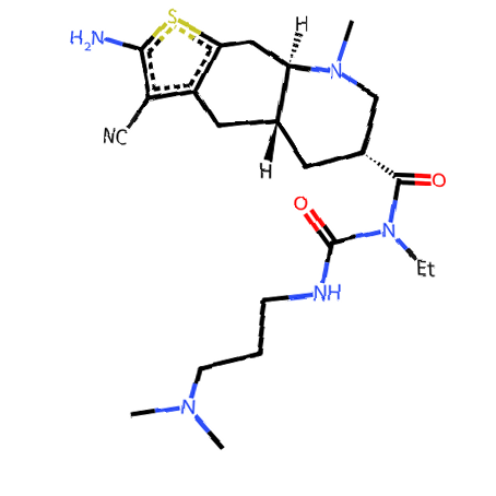 CCN(C(=O)NCCCN(C)C)C(=O)[C@@H]1C[C@@H]2Cc3c(sc(N)c3C#N)C[C@H]2N(C)C1